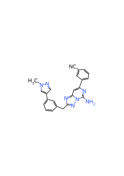 Cn1cc(-c2cccc(Cc3nc4cc(-c5cccc(C#N)c5)nc(N)n4n3)c2)cn1